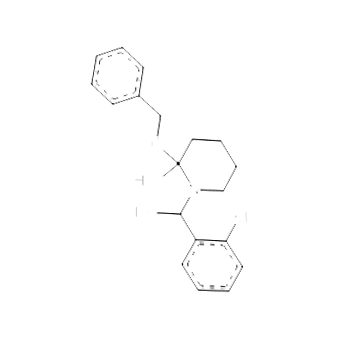 Cc1ccccc1C(C)N1CCCCC1(C)OCc1ccccc1